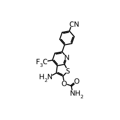 N#Cc1ccc(-c2cc(C(F)(F)F)c3c(N)c(OC(N)=O)sc3n2)cc1